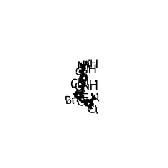 CN=C(NC)NC(=O)c1ccc(NC(=O)Cc2ccc(Br)c(Oc3cc(Cl)cc(C#N)c3)c2F)c(Cl)c1